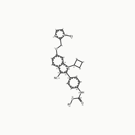 CCn1ccnc1COc1ccc2c(C#N)c(-c3ccc(NC(=O)OC(C)C)cc3)n(C3CCC3)c2c1